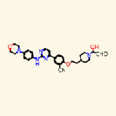 N#Cc1cc(-c2ccnc(Nc3ccc(N4CCOCC4)cc3)n2)ccc1OCCC1CCN(C(O)C=O)CC1